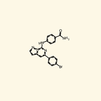 NC(=O)c1ccc(Nc2nc(-c3ccc(Br)cc3)cc3ccnn23)cc1